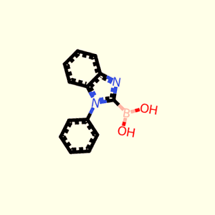 OB(O)c1nc2ccccc2n1-c1ccccc1